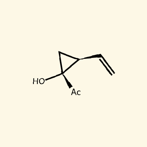 C=C[C@@H]1C[C@]1(O)C(C)=O